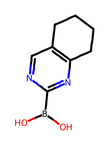 OB(O)c1ncc2c(n1)CCCC2